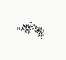 CN(C)c1nc(NC2CCC(NC(=O)Nc3ccc(I)cc3)CC2)nc2c1CCCC2